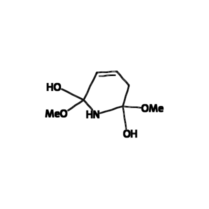 COC1(O)C=CCC(O)(OC)N1